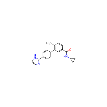 Cc1ccc(C(=O)NC2CC2)cc1-c1ccc(-c2ncc[nH]2)cc1